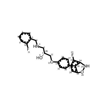 O[C@H](CNCc1ccccc1F)COc1ccc(-c2c3ccc(F)c2NO3)cc1